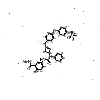 CNC(=O)c1cc(NC(=O)N(c2ccccc2)C2CN(Cc3ccc(Oc4ccc(NS(C)(=O)=O)cc4)nc3)C2)ccc1F